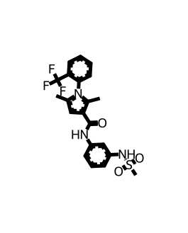 Cc1cc(C(=O)Nc2cccc(NS(C)(=O)=O)c2)c(C)n1-c1ccccc1C(F)(F)F